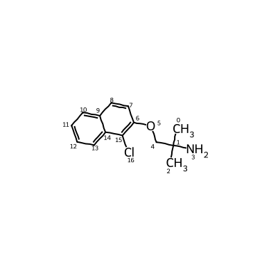 CC(C)(N)COc1ccc2ccccc2c1Cl